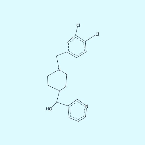 OC(c1cccnc1)C1CCN(Cc2ccc(Cl)c(Cl)c2)CC1